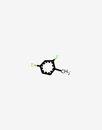 [CH2]c1[c]cc(F)cc1F